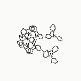 c1ccc(-n2c3ccccc3c3cc(-c4ccc5c(c4)c4ccccc4n5-c4nc(-n5c6ccccc6c6cc(-c7ccc8c(c7)c7ccccc7n8-c7ccccc7)ccc65)c(-n5c6ccccc6c6ccccc65)c(-n5cnc6ccccc65)c4-n4c5ccccc5c5ccccc54)ccc32)cc1